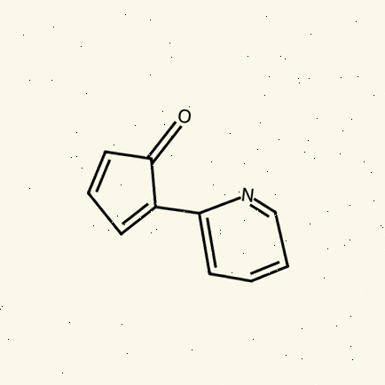 O=C1C=CC=C1c1ccccn1